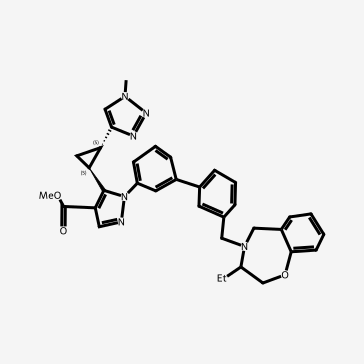 CCC1COc2ccccc2CN1Cc1cccc(-c2cccc(-n3ncc(C(=O)OC)c3[C@H]3C[C@@H]3c3cn(C)nn3)c2)c1